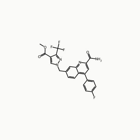 COC(=O)c1cn(Cc2ccc3c(-c4ccc(F)cc4)cc(C(N)=O)nc3c2)nc1C(F)(F)F